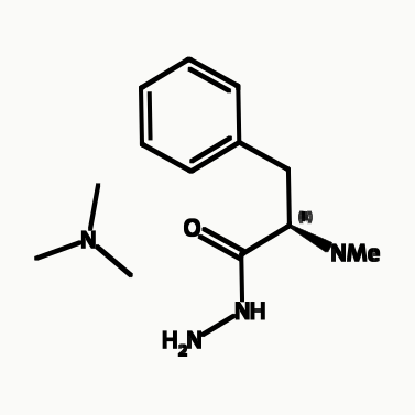 CN(C)C.CN[C@H](Cc1ccccc1)C(=O)NN